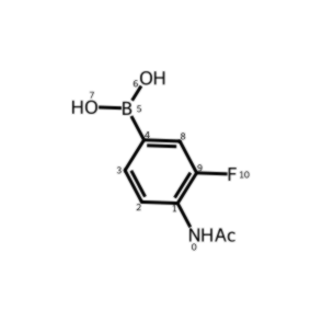 CC(=O)Nc1ccc(B(O)O)cc1F